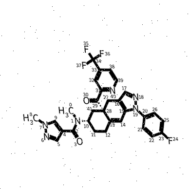 CN(C(=O)c1cnn(C)c1)[C@H]1CCC2=Cc3c(cnn3-c3ccc(F)cc3)C[C@]2(C(=O)c2cc(C(F)(F)F)ccn2)C1